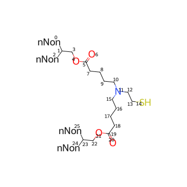 CCCCCCCCCC(CCCCCCCCC)COC(=O)CCCCN(CCS)CCCCC(=O)OCC(CCCCCCCCC)CCCCCCCCC